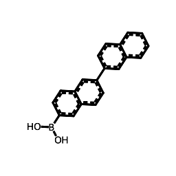 OB(O)c1ccc2cc(-c3ccc4ccccc4c3)ccc2c1